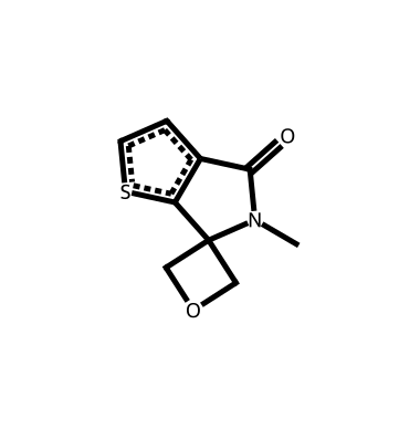 CN1C(=O)c2ccsc2C12COC2